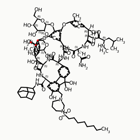 CCCCCCCCS(=O)(=O)N1CCCN(Cc2c(O)cc3c4c2C(O)(O)c2ccc(cc2-4)[C@H]2NC(=O)[C@@H]4NC(=O)[C@H](CC(N)=O)NC(=O)[C@H](NC(=O)[C@@H](CC(C)C)NC)[C@H](O)c5ccc(c(C)c5)Oc5cc4cc(c5O[C@@H]4O[C@H](CO)[C@@H](O)[C@H](O)[C@H]4O[C@H]4C[C@](C)(N)[C@H](O)[C@H](C)O4)Oc4ccc(cc4Cl)[C@@H](O)[C@H](NC2=O)C(=O)N[C@@H]3C(=O)NC2C3CC4CC(C3)CC2C4)C1